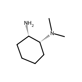 CN(C)[C@@H]1CCCC[C@@H]1N